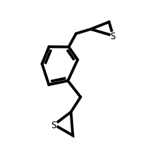 c1cc(CC2CS2)cc(CC2CS2)c1